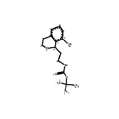 CC(C)(C)OC(=O)NCCC1OCCc2cccc(O)c21